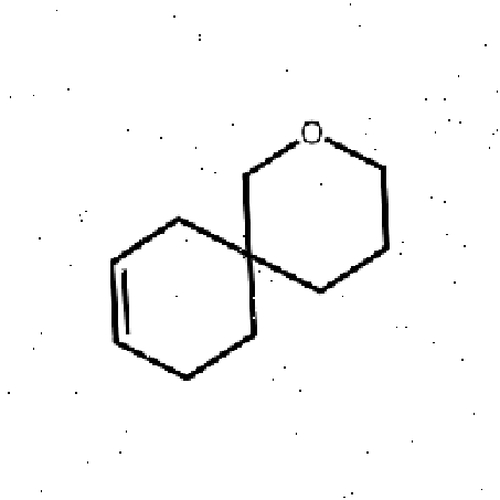 C1=CCC2(CC1)CCCOC2